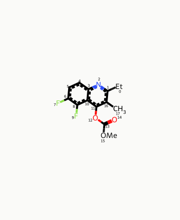 CCc1nc2ccc(F)c(F)c2c(OC(=O)OC)c1C